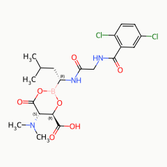 CC(C)C[C@H](NC(=O)CNC(=O)c1cc(Cl)ccc1Cl)B1OC(=O)[C@@H](N(C)C)[C@H](C(=O)O)O1